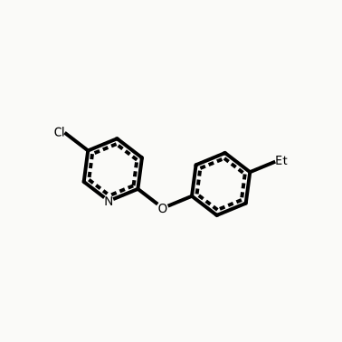 CCc1ccc(Oc2ccc(Cl)cn2)cc1